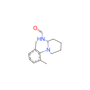 Cc1cccc(C)c1N1CCCCC1NC=O